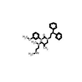 C=C(CN(C)CCNC)CN(CCC(c1ccccc1)c1ccccc1)C(=O)Nc1cccc(OC)c1